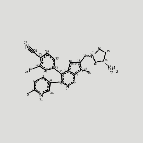 Cc1ccc(-c2ncc3c(cc(CN4CC[C@H](N)C4)n3C)c2-c2ccc(C#N)c(F)c2)cn1